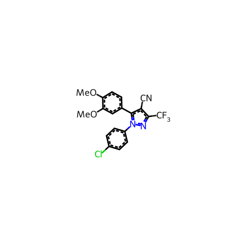 COc1ccc(-c2c(C#N)c(C(F)(F)F)nn2-c2ccc(Cl)cc2)cc1OC